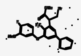 COC(=O)C(CC(C)C)c1cc(-c2ccccc2)cc(Oc2ccc(F)c(OC)c2)c1C(F)(F)F